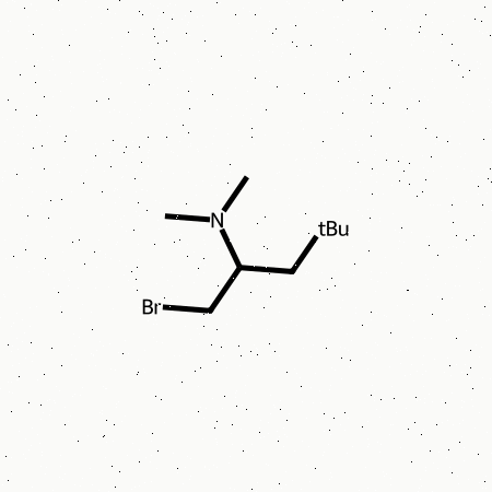 CN(C)C(CBr)CC(C)(C)C